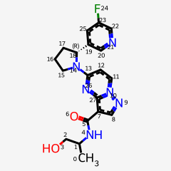 CC(CO)NC(=O)c1cnn2ccc(N3CCC[C@@H]3c3cncc(F)c3)nc12